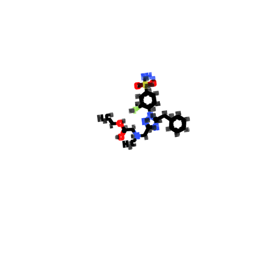 CCOC(=O)CN(C)Cc1nc(Cc2ccccc2)n(-c2ccc(S(N)(=O)=O)cc2F)n1